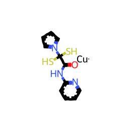 O=C(Nc1ccccn1)C(S)(S)n1cccc1.[Cu]